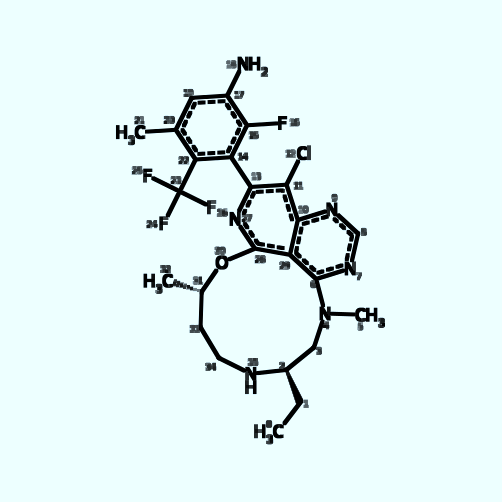 CC[C@@H]1CN(C)c2ncnc3c(Cl)c(-c4c(F)c(N)cc(C)c4C(F)(F)F)nc(c23)O[C@@H](C)CCN1